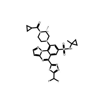 C[C@@H]1CN(c2cc(S(=O)(=O)NC3(C)CC3)cc3c(-c4nnc(C(F)F)s4)nc4ccnn4c23)CCN1C(=O)C1CC1